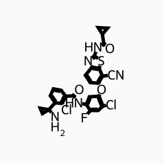 N#Cc1c(Oc2cc(NC(=O)c3cccc(C4(N)CC4)c3Cl)c(F)cc2Cl)ccc2nc(NC(=O)C3CC3)sc12